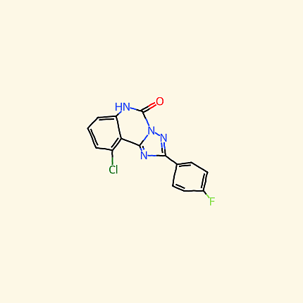 O=c1[nH]c2cccc(Cl)c2c2nc(-c3ccc(F)cc3)nn12